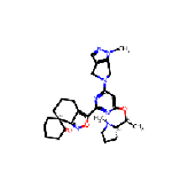 C[C@H](Oc1cc(N2Cc3cnn(C)c3C2)nc(-c2onc3c2CCC[C@@]32CCCCC2=O)n1)[C@@H]1CCCN1C